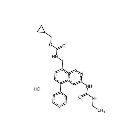 CCNC(=O)Nc1cc2c(-c3ccncc3)ccc(CNC(=O)OCC3CC3)c2cn1.Cl